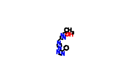 C[C@@H](O)Cn1cc(CN2CCN(c3nccnc3-c3ccccc3)CC2)cn1